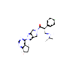 CC(C)NC[C@@H](C(=O)N1Cc2cn(-c3ncnc4c3[C@H](C)C[C@H]4O)nc2C1)c1ccc(Cl)cc1